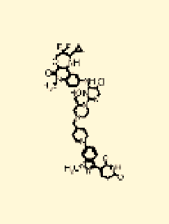 Cn1nc(C2CCC(=O)NC2=O)c2ccc(N3CCC(CN4CCN(c5ncc(Cl)c(Nc6ccc7c(c6)c6c(c(=O)n7C)OCC(F)(F)C(C7CC7)N6)n5)C(CO)C4)CC3)cc21